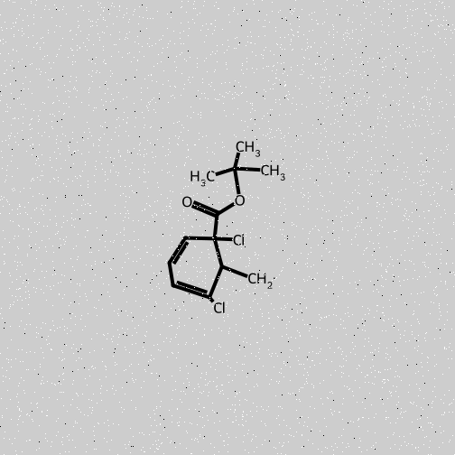 [CH2]C1C(Cl)=CC=CC1(Cl)C(=O)OC(C)(C)C